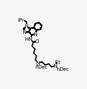 CCCCCCCCCCN(CC)CCCCN(CCCCCCCCCC)CCCCCC(=O)Nc1nc2ccccc2c2c1ncn2CC(C)C